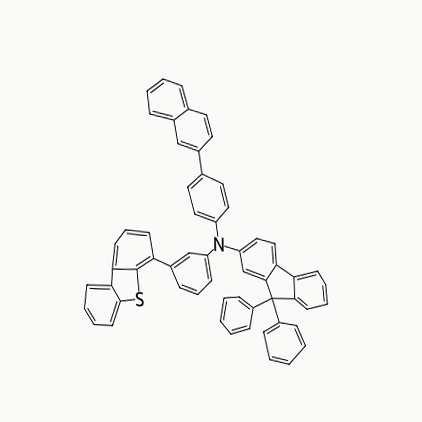 c1ccc(C2(c3ccccc3)c3ccccc3-c3ccc(N(c4ccc(-c5ccc6ccccc6c5)cc4)c4cccc(-c5cccc6c5sc5ccccc56)c4)cc32)cc1